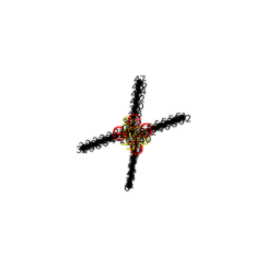 C=CCCCCCCCCCOC(=S)SC(OC(SC(=S)OCCCCCCCCCC=C)SC(=S)OCCCCCCCCCC=C)SC(=S)OCCCCCCCCCC=C